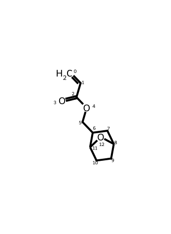 C=CC(=O)OCC1CC2CCC1O2